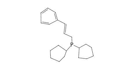 C(=Cc1ccccc1)CP(C1CCCCC1)C1CCCCC1